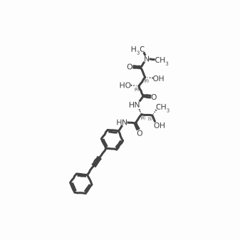 C[C@H](O)[C@@H](NC(=O)[C@H](O)[C@@H](O)C(=O)N(C)C)C(=O)Nc1ccc(C#Cc2ccccc2)cc1